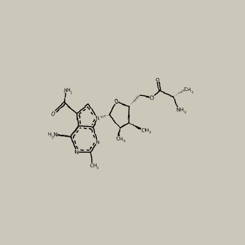 Cc1nc(N)c2c(C(N)=O)cn([C@@H]3O[C@H](COC(=O)[C@H](C)N)[C@@H](C)[C@H]3C)c2n1